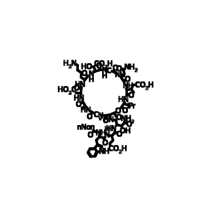 CCCCCCCCCC(=O)NC(Cc1c[nH]c2ccccc12)C(=O)NC(CCC(=O)O)C(=O)NC(C(=O)NC1C(=O)N(C)CC(=O)NC(C)C(=O)NC(CC(=O)O)C(=O)NC(CCCCN)C(=O)NC(C(O)C(=O)O)C(=O)NCC(=O)NC(CC(N)=O)C(=O)NC(C(C)CC(=O)O)C(=O)NC(C(C)C)C(=O)OC1C)C(O)C(N)=O